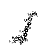 COC(=O)N[C@H](C(=O)N1CCC[C@H]1c1nc(-c2ccc(-c3ccc(NC(=O)c4ccc(N5CCN(C(=O)OC(C)(C)C)C[C@H]5C)nc4)cc3C)cc2)c[nH]1)C(C)C